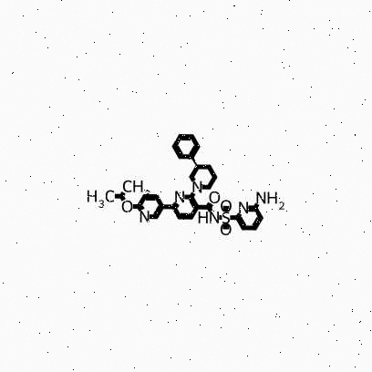 CC(C)Oc1ccc(-c2ccc(C(=O)NS(=O)(=O)c3cccc(N)n3)c(N3CCC[C@H](c4ccccc4)C3)n2)cn1